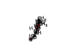 CC1=C2C[C@H]3[C@@H](CC=C4C[C@@H](OC(=O)NCCNC(=O)CCc5ccccc5)CC[C@@]43C)[C@@H]2CCC12O[C@@H]1C[C@H](C)CN[C@H]1[C@H]2C